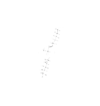 CCOC(=O)C(C)(C)C(O)(CCC(F)(F)C(F)(F)C(F)(F)C(F)(F)C(F)(F)C(F)(F)F)CCC(F)(F)C(F)(F)C(F)(F)C(F)(F)C(F)(F)C(F)(F)F